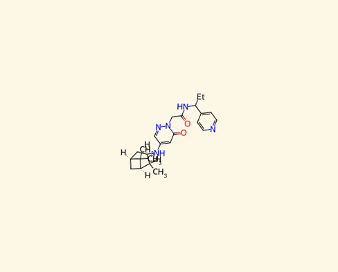 CCC(NC(=O)Cn1ncc(N[C@@H]2C[C@@H]3C[C@H]([C@H]2C)C3(C)C)cc1=O)c1ccncc1